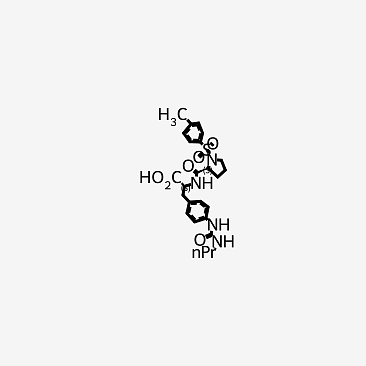 CCCNC(=O)Nc1ccc(C[C@H](NC(=O)[C@@H]2CCCN2S(=O)(=O)c2ccc(C)cc2)C(=O)O)cc1